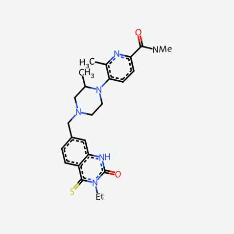 CCn1c(=O)[nH]c2cc(CN3CCN(c4ccc(C(=O)NC)nc4C)C(C)C3)ccc2c1=S